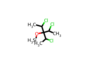 CC(Cl)C(O[SiH3])(C(C)Cl)C(C)Cl